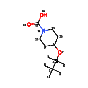 CC(C)(C)[Si](C)(C)OC1CCN(C(=O)O)CC1